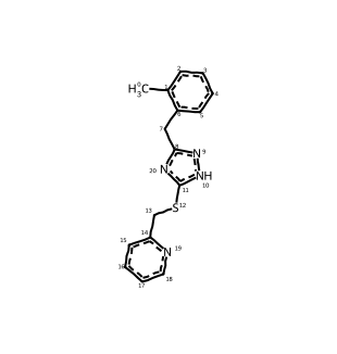 Cc1ccccc1Cc1n[nH]c(SCc2ccccn2)n1